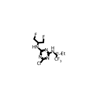 CC[C@@H](Nc1nc(Cl)nc(NC(CF)CF)n1)C(F)(F)F